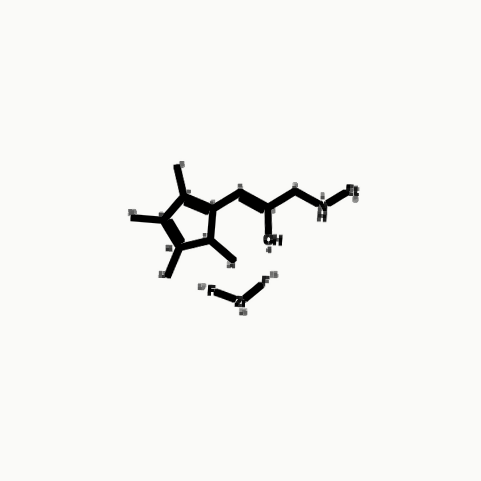 CCNCC(O)=CC1=C(C)C(C)=C(C)C1C.[F][Zr][F]